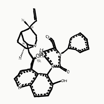 C=C[C@@H]1CN2CCC1C[C@@H]2[C@@H](O)c1ccnc2ccc(O)c(-n3[nH]c(=O)n(-c4ccccc4)c3=O)c12